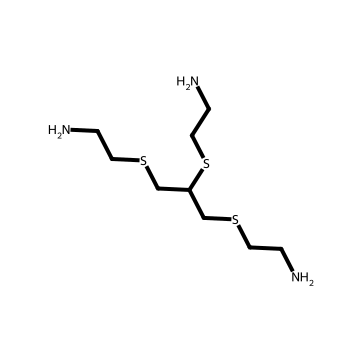 NCCSCC(CSCCN)SCCN